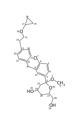 COC1(c2ccc(Cl)c(Cc3ccc(CCOC4CC4)cc3)c2)CC(O)CC(CO)O1